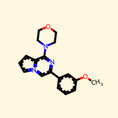 COc1cccc(-c2cn3cccc3c(N3CCOCC3)n2)c1